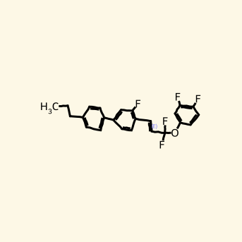 CCCc1ccc(-c2ccc(/C=C/C(F)(F)Oc3ccc(F)c(F)c3)c(F)c2)cc1